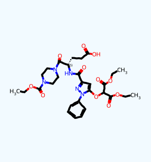 CCOC(=O)C(Oc1cc(C(=O)N[C@@H](CCC(=O)O)C(=O)N2CCN(C(=O)OCC)CC2)nn1-c1ccccc1)C(=O)OCC